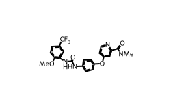 CNC(=O)c1cc(Oc2ccc(NC(=O)Nc3cc(C(F)(F)F)ccc3OC)cc2)ccn1